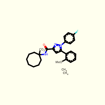 C.C.COc1ccccc1-c1cc(C(=O)NC2(C(=O)O)[CH]CCCCCC2)nn1-c1ccc(F)cc1